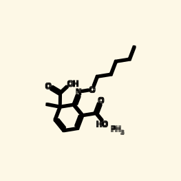 CCCCCON=C1C(C(=O)O)=CC=CC1(C)C(=O)O.P